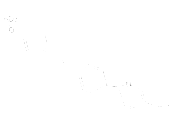 CCCCCCc1ccc(-c2ccc(CCc3ccc(OCCCC)cc3)cc2)nc1